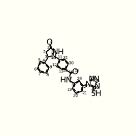 O=C1CC(c2ccccc2)N(c2ccc(C(=O)Nc3cccc(-n4nnnc4S)c3)cc2)N1